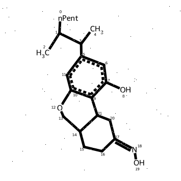 CCCCCC(C)C(C)c1cc(O)c2c(c1)OCC1CCC(=NO)CC21